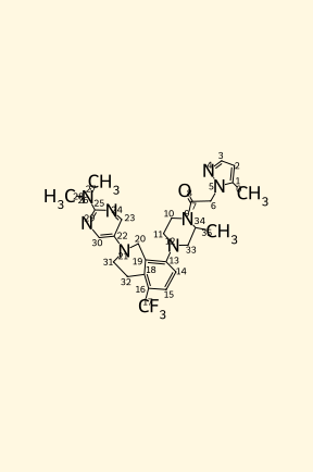 Cc1ccnn1CC(=O)N1CCN(c2ccc(C(F)(F)F)c3c2CN(c2cnc(N(C)C)nc2)CC3)CC1C